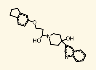 OC(CCOc1ccc2c(c1)CCC2)N1CCC(O)(c2cnc3ccccc3c2)CC1